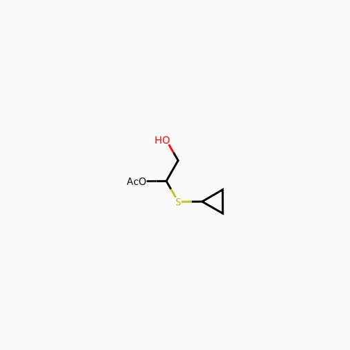 CC(=O)OC(CO)SC1CC1